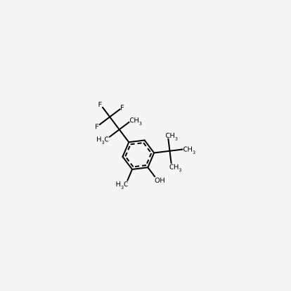 Cc1cc(C(C)(C)C(F)(F)F)cc(C(C)(C)C)c1O